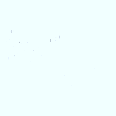 CCCCCCCC/C=C\CCCCCCCC(=O)N(CCO)CCN(CC(=O)O)CC(=O)O.[NaH].[NaH]